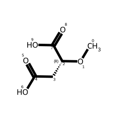 CO[C@H](CC(=O)O)C(=O)O